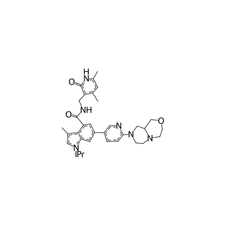 Cc1cc(C)c(CNC(=O)c2cc(-c3ccc(N4CCN5CCOCC5C4)nc3)cc3c2c(C)cn3C(C)C)c(=O)[nH]1